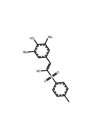 Cc1ccc(S(=O)(=O)C(C#N)=Cc2cc(C(C)(C)C)c(O)c(C(C)(C)C)c2)cc1